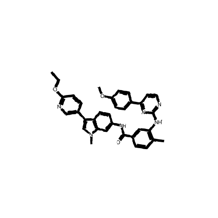 CCOc1ccc(-c2cn(C)c3cc(NC(=O)c4ccc(C)c(Nc5nccc(-c6ccc(OC)cc6)n5)c4)ccc23)cn1